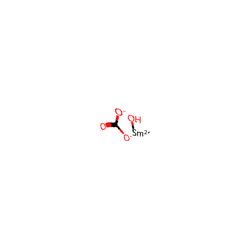 O=C([O-])[O-].[OH][Sm+2]